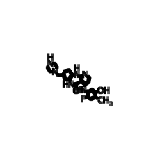 Cc1cc(F)c(Nc2ccnc3c2C(=O)Nc2cc(CN4CCNCC4)ccc2N3)cc1O